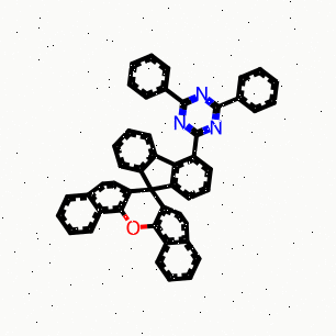 c1ccc(-c2nc(-c3ccccc3)nc(-c3cccc4c3-c3ccccc3C43c4ccc5ccccc5c4Oc4c3ccc3ccccc43)n2)cc1